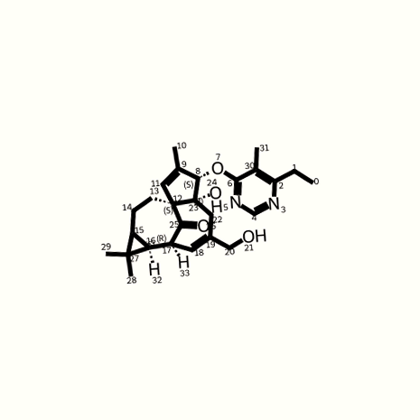 CCc1ncnc(O[C@H]2C(C)=C[C@@]34CCC5[C@@H]([C@H](C=C(CO)C[C@]23O)C4=O)C5(C)C)c1C